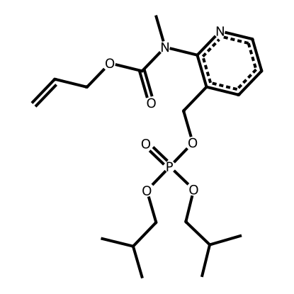 C=CCOC(=O)N(C)c1ncccc1COP(=O)(OCC(C)C)OCC(C)C